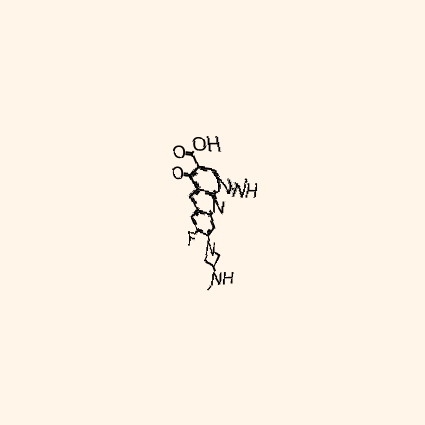 CNC1CN(c2cc3nc4c(cc3cc2F)c(=O)c(C(=O)O)cn4NC)C1